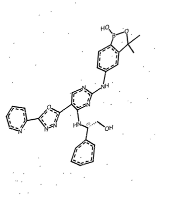 CC1(C)OB(O)c2ccc(Nc3ncc(-c4nnc(-c5ccccn5)o4)c(N[C@H](CO)c4ccccc4)n3)cc21